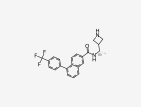 C[C@H](NC(=O)c1ccc2c(-c3ccc(C(F)(F)F)cc3)cccc2c1)C1CNC1